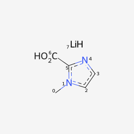 Cn1ccnc1C(=O)O.[LiH]